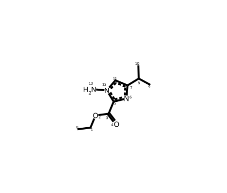 CCOC(=O)c1nc(C(C)C)cn1N